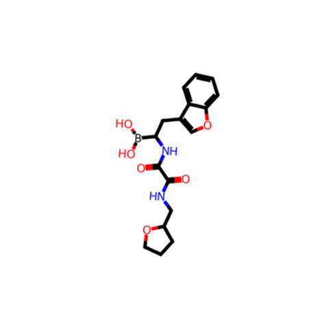 O=C(NCC1CCCO1)C(=O)NC(Cc1coc2ccccc12)B(O)O